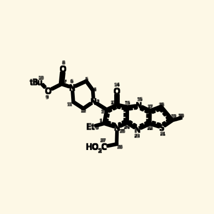 CCc1c(N2CCN(C(=O)OC(C)(C)C)CC2)c(=O)c2nc3cc(C)sc3nc2n1CC(=O)O